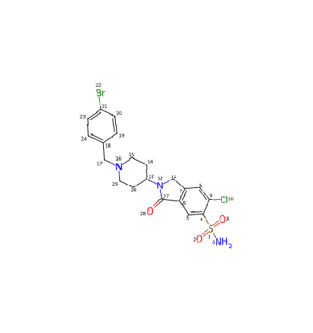 NS(=O)(=O)c1cc2c(cc1Cl)CN(C1CCN(Cc3ccc(Br)cc3)CC1)C2=O